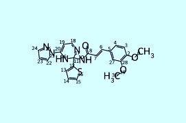 COc1ccc(/C=C/C(=O)NC2(c3cccs3)N=CC=C(n3cccn3)N2)cc1OC